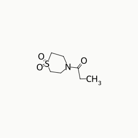 CCC(=O)N1CCS(=O)(=O)CC1